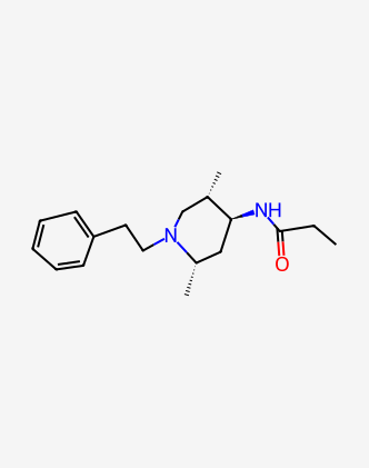 CCC(=O)N[C@H]1C[C@H](C)N(CCc2ccccc2)C[C@@H]1C